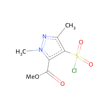 COC(=O)c1c(S(=O)(=O)Cl)c(C)nn1C